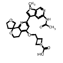 CC(=O)Nc1cc2c(-c3cc(OCC4CN(C(=O)O)C4)c4c(n3)C3(CCOC3)OCC4)cn(C)c2cn1